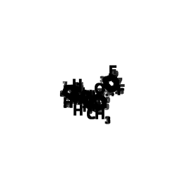 Cc1cc(N2C[C@H]3CC[C@@H](C2)[C@@H]3Nc2nc3n(n2)CCC[C@H]3Oc2cc(F)cc(F)c2)ncn1